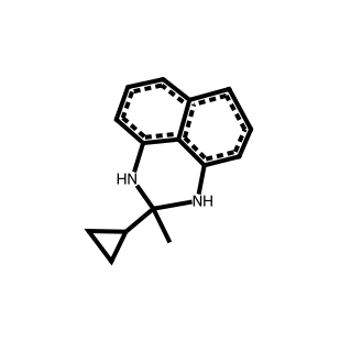 CC1(C2CC2)Nc2cccc3cccc(c23)N1